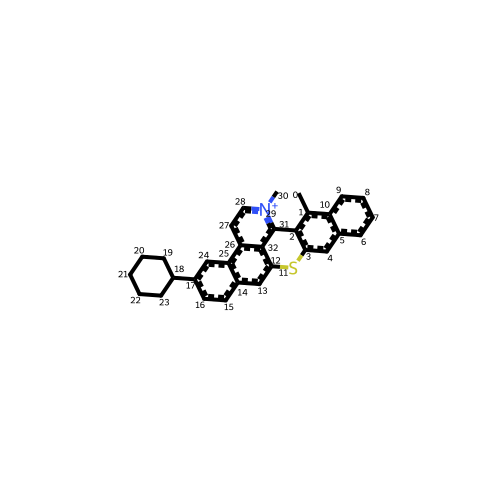 Cc1c2c(cc3ccccc13)Sc1cc3ccc(C4CCCCC4)cc3c3cc[n+](C)c-2c13